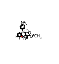 CCOC(=O)c1cnn(C)c1C(=O)N(c1ccccc1)c1ccc2ncnn2c1